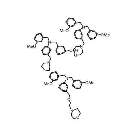 COc1cccc(CN(Cc2cccc(OC)c2)c2cccc(CN3CCCCC3)c2)c1.COc1cccc(CN(Cc2cccc(OC)c2)c2cccc(CN3CCOCC3)c2)c1.COc1cccc(CN(Cc2cccc(OC)c2)c2cccc(COCCN3CCOCC3)c2)c1